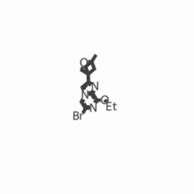 CCOc1nc(Br)cn2cc(C34COC(C)(C3)C4)nc12